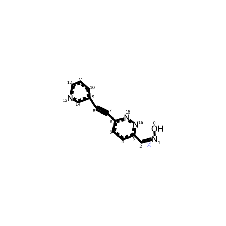 O/N=C\c1ccc(C#Cc2cccnc2)nn1